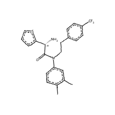 Cc1ccc(N(CCc2ccc(C(F)(F)F)cc2)C(=O)[C@@H](N)c2cccs2)cc1C